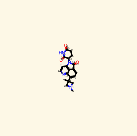 CN1CC(C)(c2ccc3c4c(ccnc24)N(C2CCC(=O)NC2=O)C3=O)C1